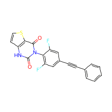 O=c1[nH]c2ccsc2c(=O)n1-c1c(F)cc(C#Cc2ccccc2)cc1F